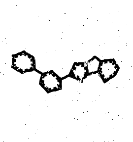 c1ccc(-c2cccc(-c3cn4c(n3)-c3ccccc3C4)c2)cc1